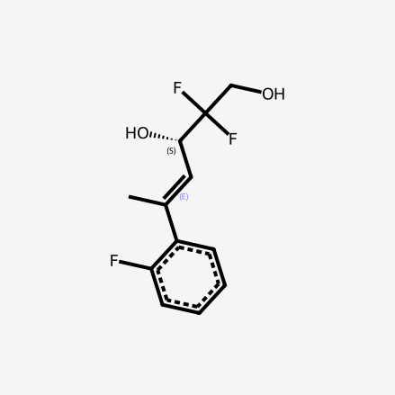 C/C(=C\[C@H](O)C(F)(F)CO)c1ccccc1F